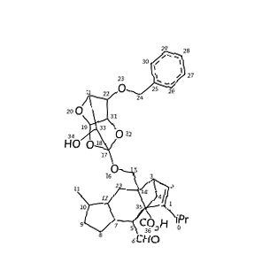 CC(C)C1=CC2CC3(C=O)C4CCC(C)C4CC2(COC24OC5OC(C(OCc6ccccc6)C5O2)C4O)C13C(=O)O